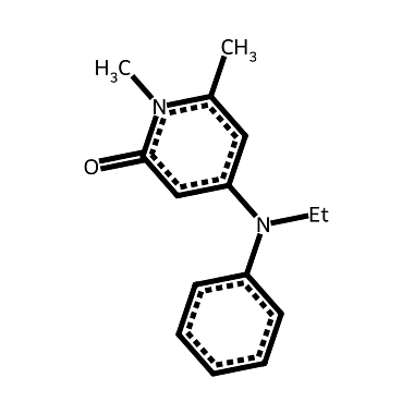 CCN(c1ccccc1)c1cc(C)n(C)c(=O)c1